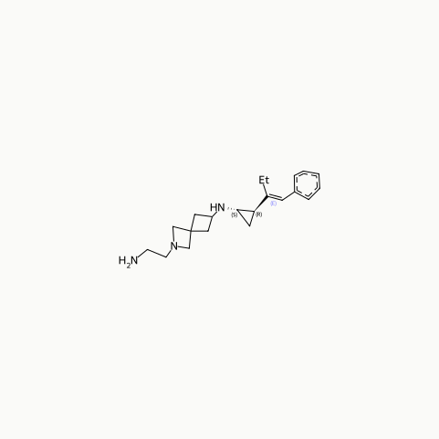 CC/C(=C\c1ccccc1)[C@H]1C[C@@H]1NC1CC2(C1)CN(CCN)C2